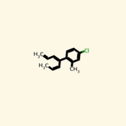 C=C/C=C(\C=C/C)c1ccc(Cl)cc1C